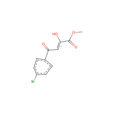 COC(=O)/C(O)=C/C(=O)c1ccc(Br)cc1